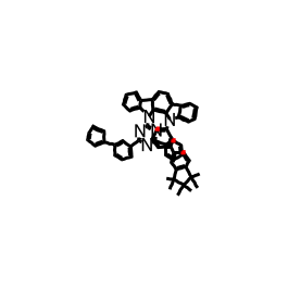 CC1(C)c2ccc(-c3cccc(-n4c5ccccc5c5ccc6c7ccccc7n(-c7nc(-c8ccccc8)nc(-c8cccc(-c9ccccc9)c8)n7)c6c54)c3)cc2C(C)(C)C1(C)C